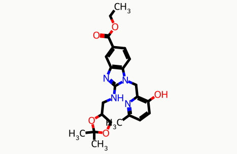 CCOC(=O)c1ccc2c(c1)nc(NCC1COC(C)(C)O1)n2Cc1nc(C)ccc1O